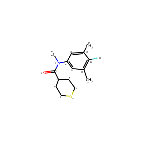 CCN(C(=O)C1CCSCC1)c1cc(C)c(F)c(C)c1